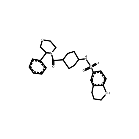 O=C(C1CCC(NS(=O)(=O)c2ccc3c(c2)CCCN3)CC1)N1CCOCC1c1ccccc1